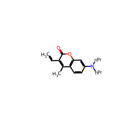 C=Cc1c(C)c2ccc(N(CCC)CCC)cc2oc1=O